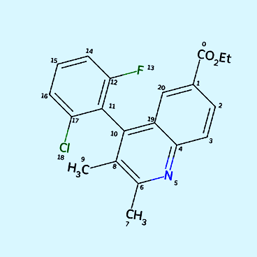 CCOC(=O)c1ccc2nc(C)c(C)c(-c3c(F)cccc3Cl)c2c1